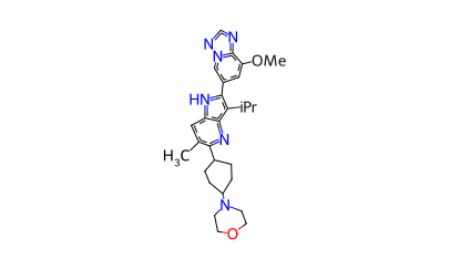 COc1cc(-c2[nH]c3cc(C)c(C4CCC(N5CCOCC5)CC4)nc3c2C(C)C)cn2ncnc12